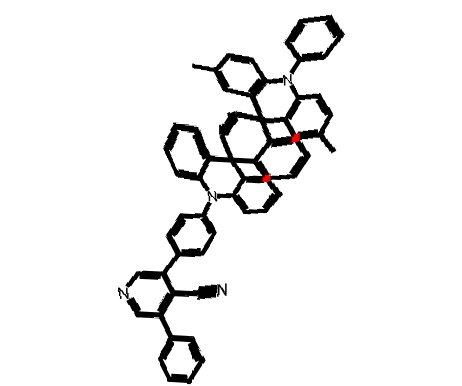 Cc1ccc2c(c1)C1(c3cc(C)ccc3N2c2ccccc2)c2ccccc2C2(c3ccccc3N(c3ccc(-c4cncc(-c5ccccc5)c4C#N)cc3)c3ccccc32)c2ccccc21